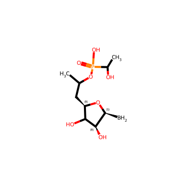 B[C@@H]1O[C@H](CC(C)OP(=O)(O)C(C)O)C(O)[C@@H]1O